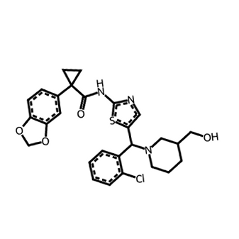 O=C(Nc1ncc(C(c2ccccc2Cl)N2CCCC(CO)C2)s1)C1(c2ccc3c(c2)OCO3)CC1